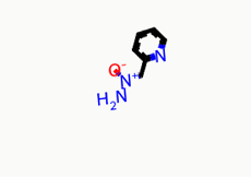 N[N+]([O-])=Cc1ccccn1